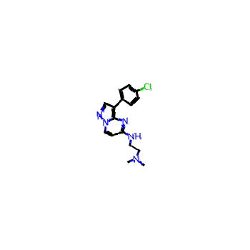 CN(C)CCNc1ccn2ncc(-c3ccc(Cl)cc3)c2n1